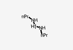 CCC[NH][Hf][NH]CCC